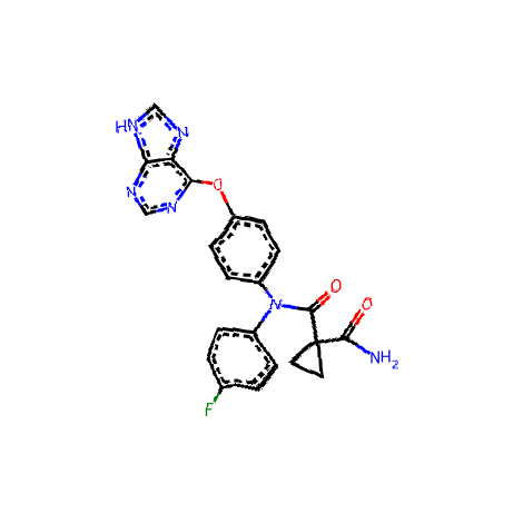 NC(=O)C1(C(=O)N(c2ccc(F)cc2)c2ccc(Oc3ncnc4[nH]cnc34)cc2)CC1